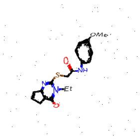 CCn1c(SCC(=O)Nc2ccc(OC)cc2)nc2c(c1=O)CC=C2